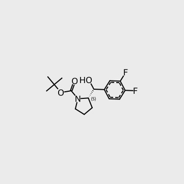 CC(C)(C)OC(=O)N1CCC[C@H]1C(O)c1ccc(F)c(F)c1